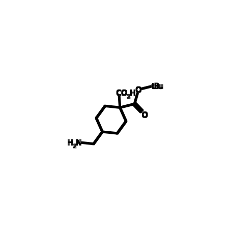 CC(C)(C)OC(=O)C1(C(=O)O)CCC(CN)CC1